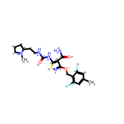 Cc1cc(F)c(COc2nsc(NC(=O)NCCC3CCCN3C)c2C(N)=O)c(F)c1